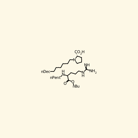 CCCCCCCCCCCCCCCCN1CCC[C@H]1C(=O)O.CCCCCNC(CCCNC(=N)N)C(=O)OCCCC